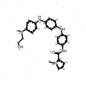 CN(CCO)c1ccc(Nc2ccc(Nc3ccc(NC(=O)c4cccn4C)cc3)cc2)cc1